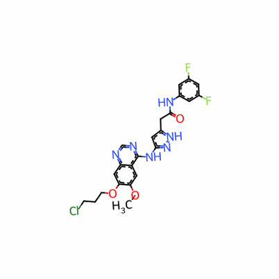 COc1cc2c(Nc3cc(CC(=O)Nc4cc(F)cc(F)c4)[nH]n3)ncnc2cc1OCCCCl